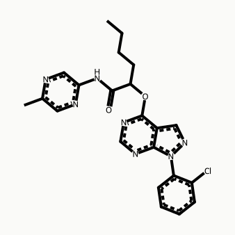 CCCCC(Oc1ncnc2c1cnn2-c1ccccc1Cl)C(=O)Nc1cnc(C)cn1